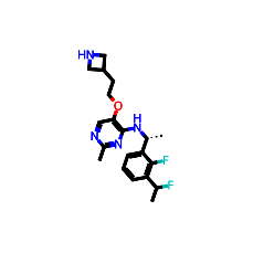 Cc1ncc(OCCC2CNC2)c(N[C@H](C)c2cccc(C(C)F)c2F)n1